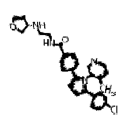 Cc1ccncc1-n1c(-c2ccc(Cl)cc2)ccc1-c1ccc(C(=O)NCCN[C@H]2CCOC2)cc1